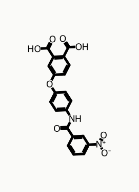 O=C(Nc1ccc(Oc2ccc(C(=O)O)c(C(=O)O)c2)cc1)c1cccc([N+](=O)[O-])c1